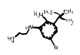 CC(C)(C)c1cc(Br)cc(NCCO)c1N